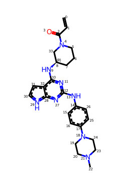 C=CC(=O)N1CCC[C@@H](Nc2nc(Nc3ccc(N4CCN(C)CC4)cc3)nc3[nH]ccc23)C1